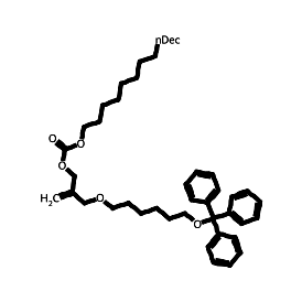 C=C(COCCCCCCOC(c1ccccc1)(c1ccccc1)c1ccccc1)COC(=O)OCCCCCCCCCCCCCCCCCC